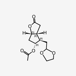 CC(=O)O[C@@H]1C[C@@H]2OC(=O)C[C@@H]2[C@H]1CC1OCCO1